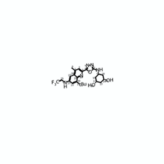 Cc1cc(-c2nnc(N[C@@H]3C[C@H](O)C[C@H](O)C3)o2)nc2c(C(C)(C)C)cc(NCC(F)(F)F)cc12